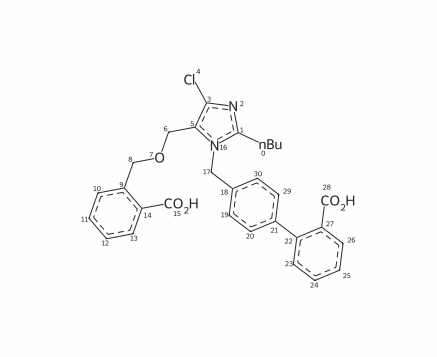 CCCCc1nc(Cl)c(COCc2ccccc2C(=O)O)n1Cc1ccc(-c2ccccc2C(=O)O)cc1